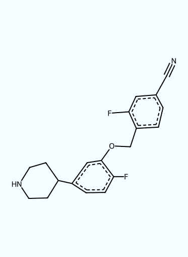 N#Cc1ccc(COc2cc(C3CCNCC3)ccc2F)c(F)c1